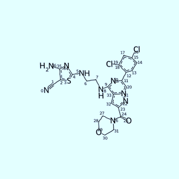 N#Cc1sc(NCCNc2nc(-c3ccc(Cl)cc3Cl)cn3nc(C(=O)N4CCOCC4)cc23)nc1N